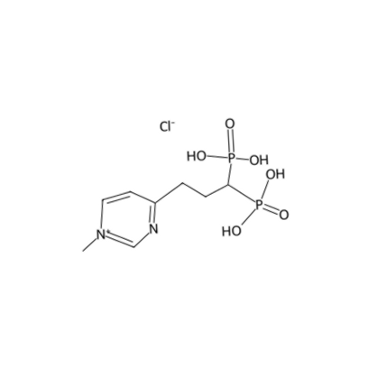 C[n+]1ccc(CCC(P(=O)(O)O)P(=O)(O)O)nc1.[Cl-]